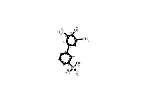 Cc1cc(-c2cccc(P(=O)(O)O)c2)cc(C)c1O